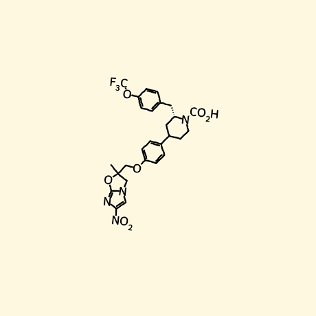 CC1(COc2ccc(C3CCN(C(=O)O)[C@@H](Cc4ccc(OC(F)(F)F)cc4)C3)cc2)Cn2cc([N+](=O)[O-])nc2O1